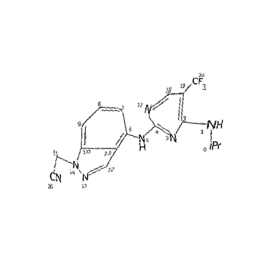 CC(C)Nc1nc(Nc2cccc3c2cnn3CC#N)ncc1C(F)(F)F